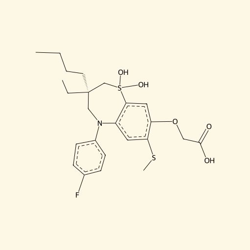 CCCC[C@@]1(CC)CN(c2ccc(F)cc2)c2cc(SC)c(OCC(=O)O)cc2S(O)(O)C1